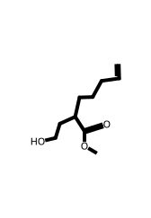 C=CCCCC(CCO)C(=O)OC